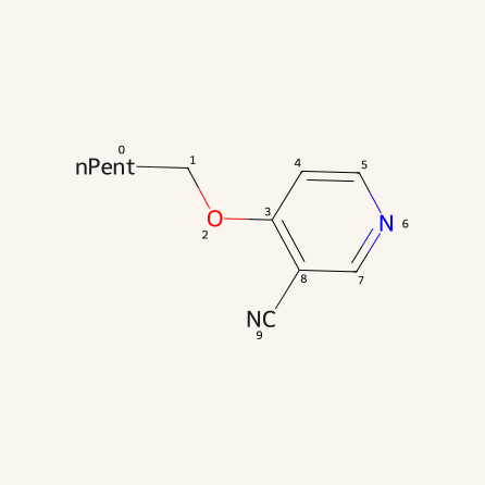 CCCCCCOc1ccncc1C#N